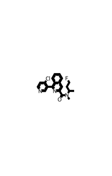 CC(CCF)N(C)C(=O)c1cc2ccccc2c(-c2cnccc2Cl)n1